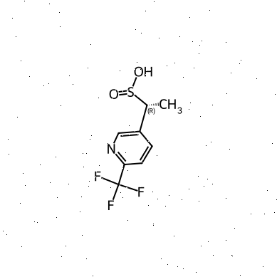 C[C@H](c1ccc(C(F)(F)F)nc1)S(=O)O